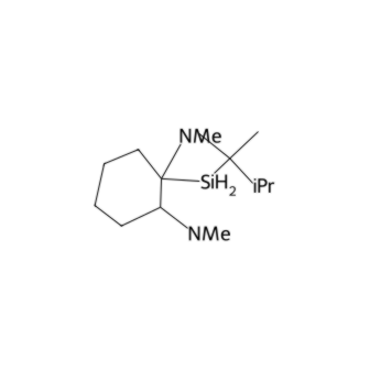 CNC1CCCCC1(NC)[SiH2]C(C)(C)C(C)C